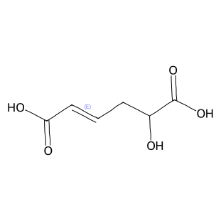 O=C(O)/C=C/CC(O)C(=O)O